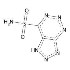 NS(=O)(=O)c1nnnc2nn[nH]c12